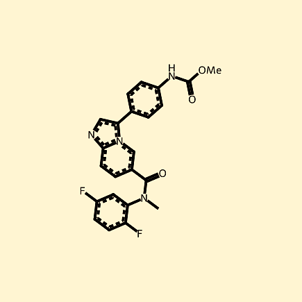 COC(=O)Nc1ccc(-c2cnc3ccc(C(=O)N(C)c4cc(F)ccc4F)cn23)cc1